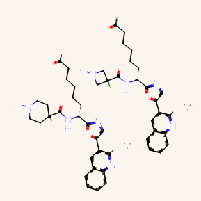 CCC(=O)CCCCC[C@H](NC(=O)C1(F)CCN(C)CC1)c1ncc(-c2cc3ccccc3nc2OC)o1.CCC(=O)CCCCC[C@H](NC(=O)C1(F)CN(C)C1)c1ncc(-c2cc3ccccc3nc2OC)o1